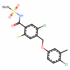 CNS(=O)(=O)NC(=O)c1cc(Cl)c(COc2ccc(Cl)c(C)c2)cc1F